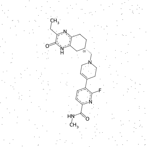 CCc1nc2c([nH]c1=O)C[C@@H](CN1CC=C(c3ccc(C(=O)NC)nc3F)CC1)CC2